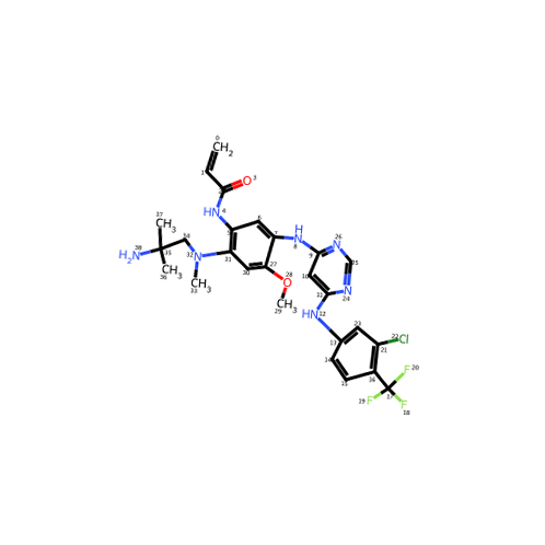 C=CC(=O)Nc1cc(Nc2cc(Nc3ccc(C(F)(F)F)c(Cl)c3)ncn2)c(OC)cc1N(C)CC(C)(C)N